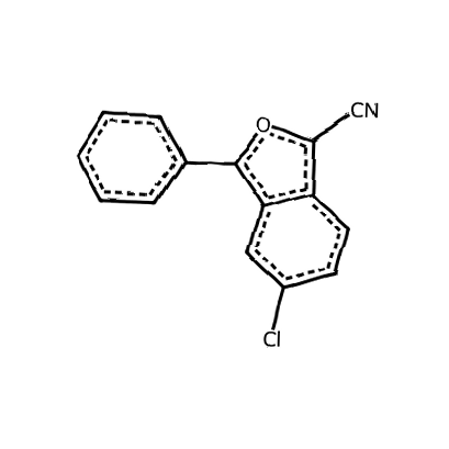 N#Cc1oc(-c2ccccc2)c2cc(Cl)ccc12